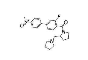 C[S+]([O-])c1ccc(-c2ccc(C(=O)N3CCC[C@H]3CN3CCCC3)c(F)c2)cc1